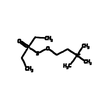 CCP(=O)(CC)SOCC[N+](C)(C)C